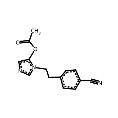 CC(=O)Oc1cncn1CCc1ccc(C#N)cc1